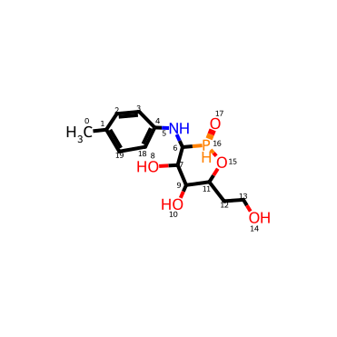 Cc1ccc(NC2C(O)C(O)C(CCO)O[PH]2=O)cc1